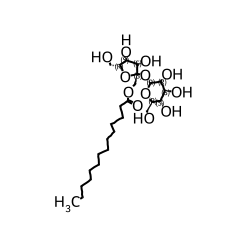 CCCCCCCCCCCCCC(=O)OC[C@@]1(O[C@H]2O[C@H](CO)[C@@H](O)[C@H](O)[C@H]2O)O[C@H](CO)[C@@H](O)[C@@H]1O